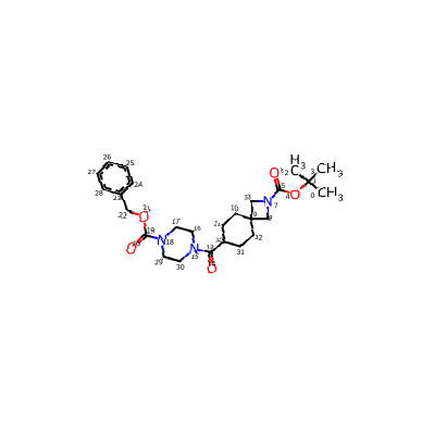 CC(C)(C)OC(=O)N1CC2(CCC(C(=O)N3CCN(C(=O)OCc4ccccc4)CC3)CC2)C1